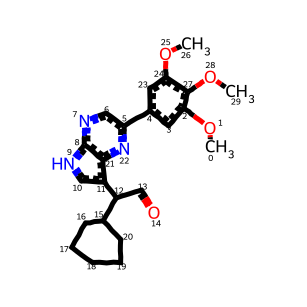 COc1cc(-c2cnc3[nH]cc(C(C=O)C4CCCCC4)c3n2)cc(OC)c1OC